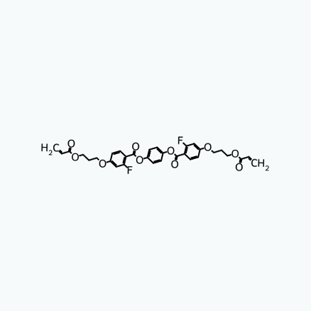 C=CC(=O)OCCCOc1ccc(C(=O)Oc2ccc(OC(=O)c3ccc(OCCCOC(=O)C=C)cc3F)cc2)c(F)c1